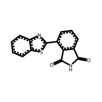 O=C1NC(=O)c2c1cccc2-c1nc2ccccc2s1